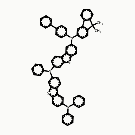 CC1(C)c2ccccc2-c2cc(N(c3ccc(-c4ccccc4)cc3)c3ccc4sc5cc(N(c6ccccc6)c6ccc7c(c6)sc6ccc(N(c8ccccc8)c8ccccc8)cc67)ccc5c4c3)ccc21